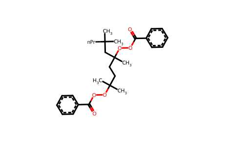 CCCC(C)(C)CC(C)(CCC(C)(C)OOC(=O)c1ccccc1)OOC(=O)c1ccccc1